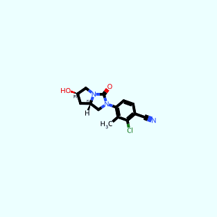 Cc1c(N2C[C@@H]3C[C@@H](O)CN3C2=O)ccc(C#N)c1Cl